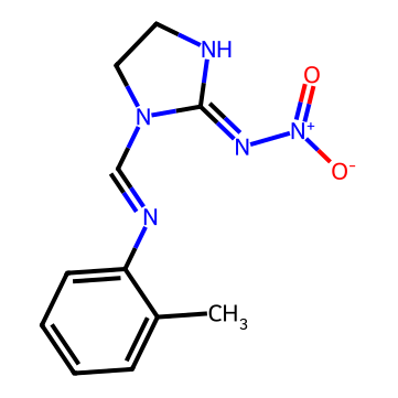 Cc1ccccc1N=CN1CCNC1=N[N+](=O)[O-]